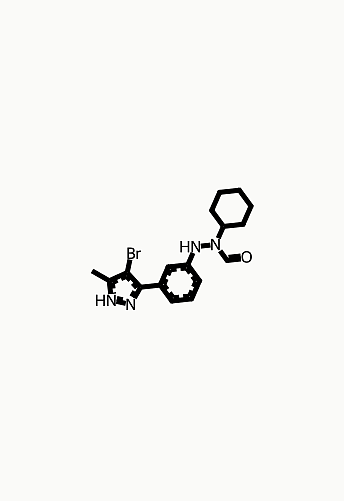 Cc1[nH]nc(-c2cccc(NN(C=O)C3CCCCC3)c2)c1Br